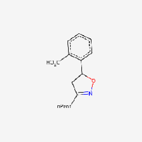 CCCCCC1=NOC(c2ccccc2C(=O)O)C1